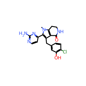 Cn1c2c(c(Cc3ccc(Cl)c(O)c3)c1-c1ccnc(N)n1)C(=O)NCC2